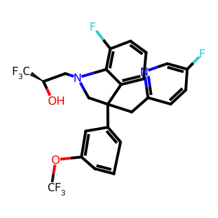 O[C@H](CN1CC(Cc2ccc(F)cn2)(c2cccc(OC(F)(F)F)c2)c2cccc(F)c21)C(F)(F)F